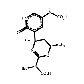 CC(C)(C)N(C(=O)O)C1=N[C@@](C)(c2cc(NC(=O)O)c[nH]c2=O)C[C@@H](C(F)(F)F)O1